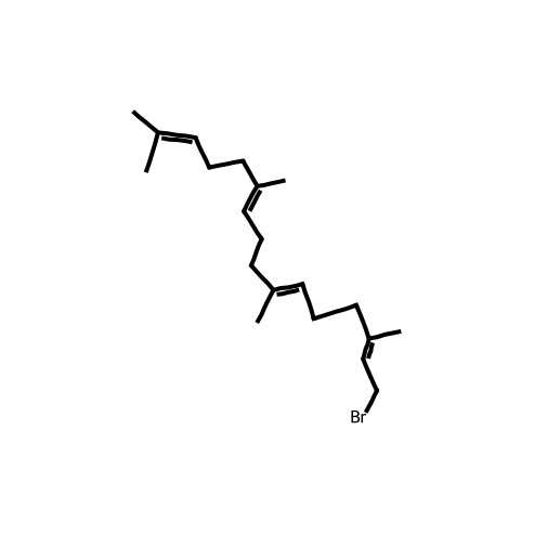 CC(C)=CCCC(C)=CCCC(C)=CCCC(C)=CCBr